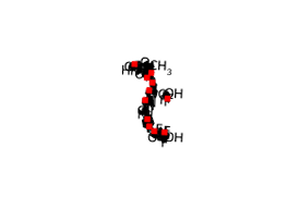 Cn1c(=O)n([C@@H]2CCC(=O)NC2=O)c2ccc(CCCN3CCN(c4ccc(-c5nc(C67CCC(CNC(=O)c8cc(F)c(O)c(F)c8F)(CC6)CC7)no5)nn4)CC3)cc21.O=C(O)C(F)(F)F